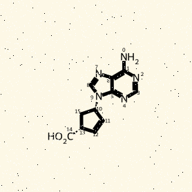 Nc1ncnc2c1ncn2[C@@H]1C=C[C@H](C(=O)O)C1